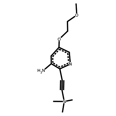 COCCOc1cnc(C#C[Si](C)(C)C)c(N)c1